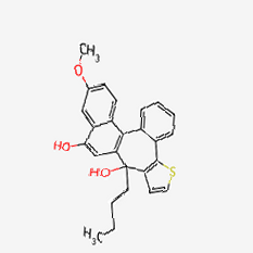 CCCCC1(O)c2ccsc2-c2ccccc2-c2c1cc(O)c1cc(OC)ccc21